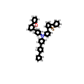 c1ccc(-c2ccc(-c3ccc(N(c4ccc(-c5cccc6c5oc5ccccc56)cc4)c4cccc(-c5cccc6c5sc5ccccc56)c4)cc3)cc2)cc1